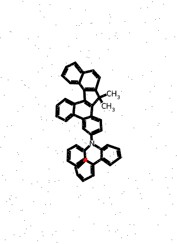 CC1(C)c2ccc3ccccc3c2-c2c1c1ccc(N(c3ccccc3)c3ccccc3-c3ccccc3)cc1c1ccccc21